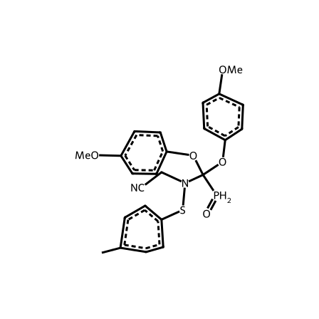 COc1ccc(OC(Oc2ccc(OC)cc2)([PH2]=O)N(CC#N)Sc2ccc(C)cc2)cc1